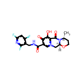 C[C@@H]1CCO[C@H]2Cn3cc(C(=O)NCc4c(F)cc(F)nc4F)c(=O)c(O)c3C(=O)N12